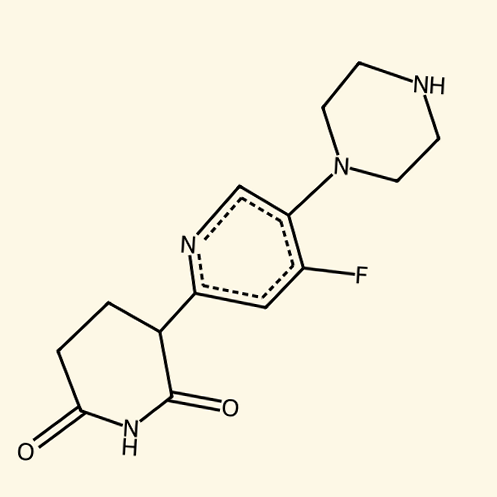 O=C1CCC(c2cc(F)c(N3CCNCC3)cn2)C(=O)N1